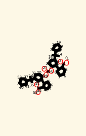 COC(=O)c1ccccc1-c1cc(C(C)(C)c2ccccc2)ccc1OC(=O)Oc1ccc(C(C)(C)c2ccccc2)cc1-c1ccccc1C(=O)OC